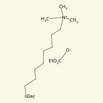 CCCCCCCCCCCCCCCCCC[N+](C)(C)C.CCOC(=O)[O-]